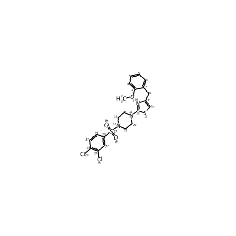 COc1ccccc1Cc1csc(N2CCN(S(=O)(=O)c3ccc(Cl)c(Cl)c3)CC2)n1